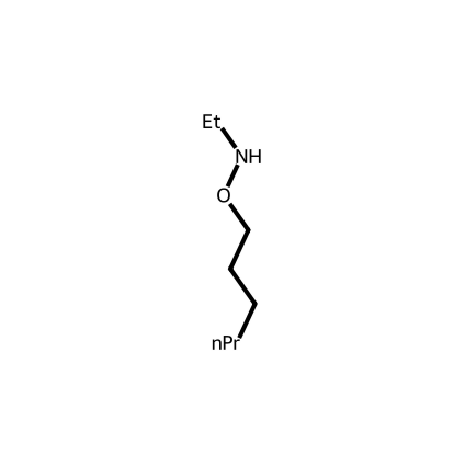 [CH2]CNOCCCCCC